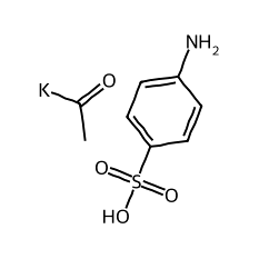 C[C](=O)[K].Nc1ccc(S(=O)(=O)O)cc1